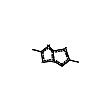 Cc1[c]n2cc(C)sc2n1